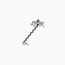 CCCCCCCCCCCCCC(C)(C)P(=O)(O)O